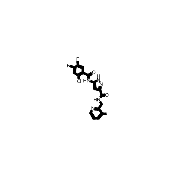 Cc1cccnc1CNC(=O)c1cc(NC(=O)c2cc(F)c(F)cc2Cl)[nH]n1